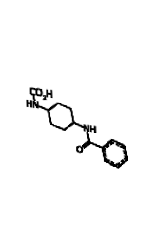 O=C(O)NC1CCC(NC(=O)c2ccccc2)CC1